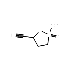 C#CC1CCP(=O)(SC)S1